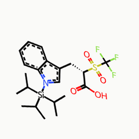 CC(C)[Si](C(C)C)(C(C)C)n1cc(C[C@@H](C(=O)O)S(=O)(=O)C(F)(F)F)c2ccccc21